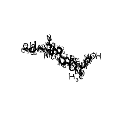 COc1nc(O[C@H]2CCc3c(-c4cccc(-c5nc6c(=N)n(CCN7CC[C@@H](C(=O)O)C7)cc(C#N)c6o5)c4Cl)cccc32)c(C(F)(F)F)nc1CN1CC[C@@H](O)C1